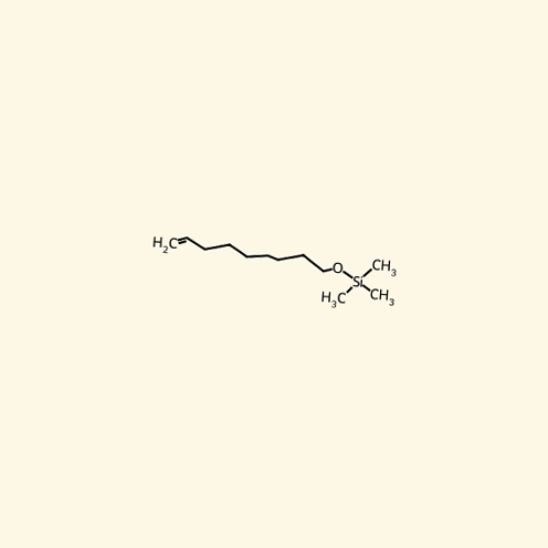 C=CCCCCCCCO[Si](C)(C)C